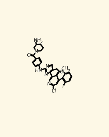 COc1cccc(F)c1C1=CC(Cl)=NC=C2C1=CCc1cnc(Nc3ccc(C(=O)N4CCCC(N)C4)cc3)nc12